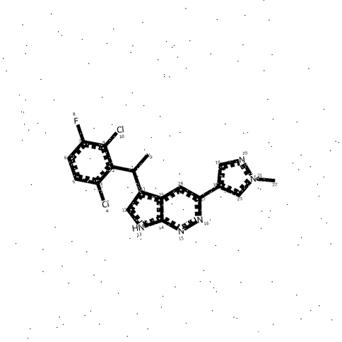 CC(c1c(Cl)ccc(F)c1Cl)c1c[nH]c2nnc(-c3cnn(C)c3)cc12